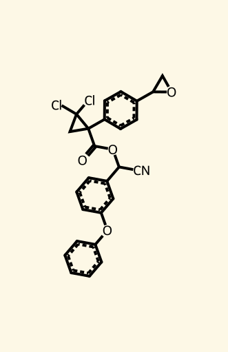 N#CC(OC(=O)C1(c2ccc(C3CO3)cc2)CC1(Cl)Cl)c1cccc(Oc2ccccc2)c1